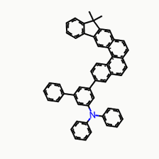 CC1(C)c2ccccc2-c2cc3c(ccc4ccc5cc(-c6cc(-c7ccccc7)cc(N(c7ccccc7)c7ccccc7)c6)ccc5c43)cc21